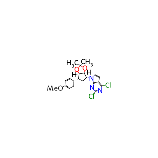 COc1ccc([C@H]2C[C@@H](n3ccc4c(Cl)nc(Cl)nc43)[C@@H]3OC(C)(C)O[C@@H]32)cc1